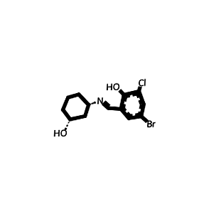 Oc1c(Cl)cc(Br)cc1C=N[C@H]1CCC[C@@H](O)C1